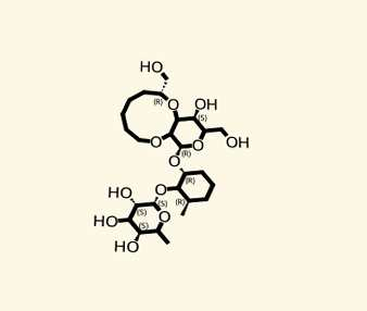 CC1O[C@@H](OC2[C@H](C)CCC[C@H]2O[C@@H]2OC(CO)[C@H](O)C3O[C@@H](CO)CCCCCOC32)[C@@H](O)C(O)[C@@H]1O